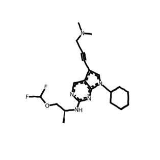 C[C@@H](COC(F)F)Nc1ncc2c(C#CCN(C)C)cn(C3CCCCC3)c2n1